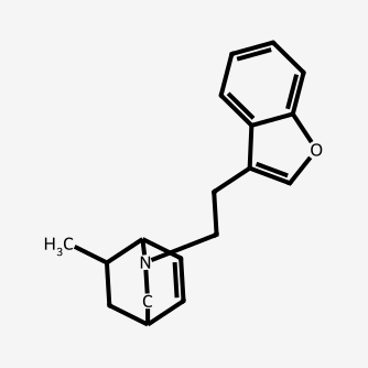 CC1CC2C=CC1N(CCc1coc3ccccc13)C2